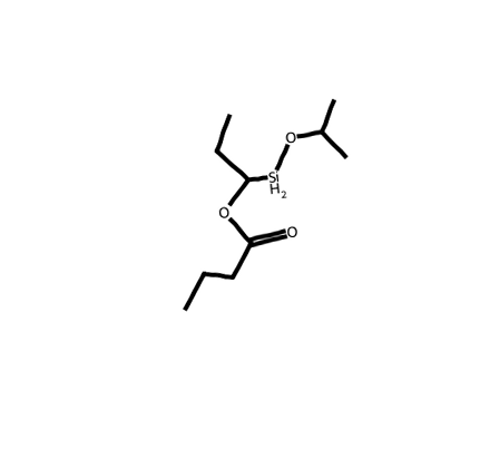 CCCC(=O)OC(CC)[SiH2]OC(C)C